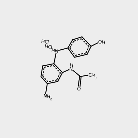 CC(=O)Nc1cc(N)ccc1Nc1ccc(O)cc1.Cl.Cl